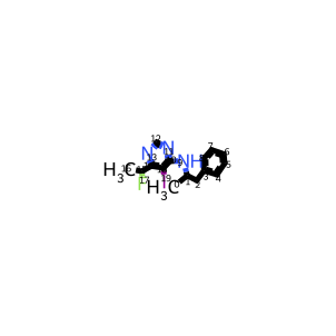 CC(Cc1ccccc1)Nc1ncnc(C(C)F)c1I